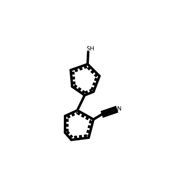 N#Cc1ccccc1-c1ccc(S)cc1